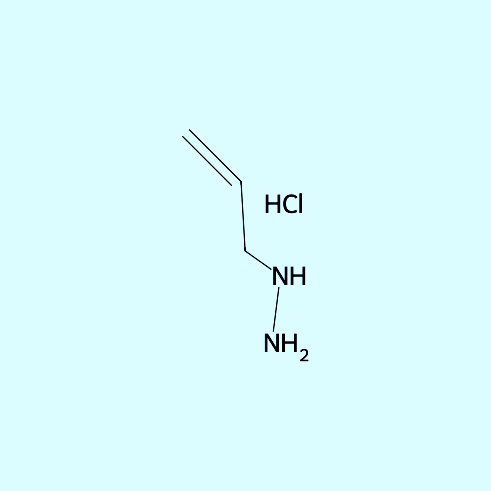 C=CCNN.Cl